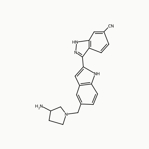 N#Cc1ccc2c(-c3cc4cc(CN5CCC(N)C5)ccc4[nH]3)n[nH]c2c1